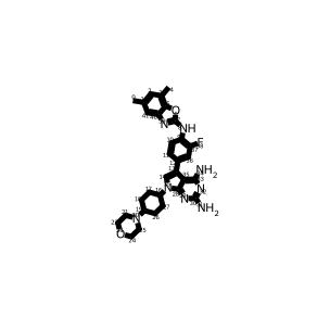 Cc1cc(C)c2oc(Nc3ccc(-c4cn(C5CCC(N6CCOCC6)CC5)c5nc(N)nc(N)c45)cc3F)nc2c1